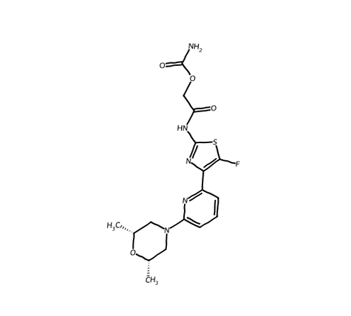 C[C@@H]1CN(c2cccc(-c3nc(NC(=O)COC(N)=O)sc3F)n2)C[C@H](C)O1